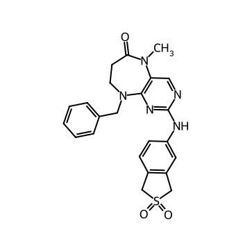 CN1C(=O)CCN(Cc2ccccc2)c2nc(Nc3ccc4c(c3)CS(=O)(=O)C4)ncc21